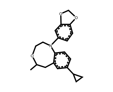 CC1Cc2cc(C3CC3)ccc2N(c2ccc3c(c2)OCO3)CCO1